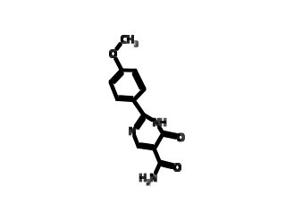 COc1ccc(-c2ncc(C(N)=O)c(=O)[nH]2)cc1